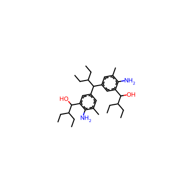 CCC(CC)C(O)c1cc(C(c2cc(C)c(N)c(C(O)C(CC)CC)c2)C(CC)CC)cc(C)c1N